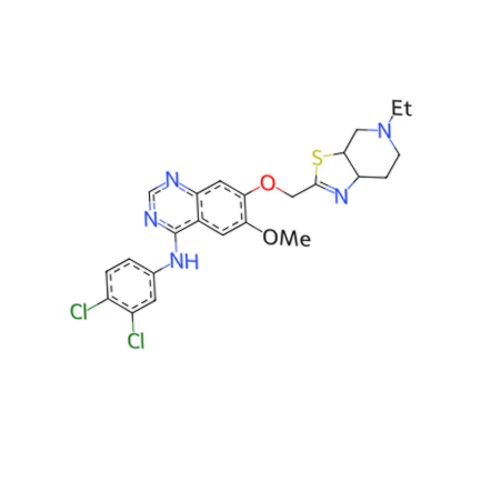 CCN1CCC2N=C(COc3cc4ncnc(Nc5ccc(Cl)c(Cl)c5)c4cc3OC)SC2C1